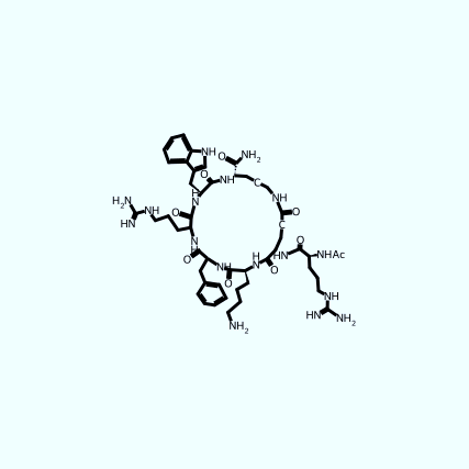 CC(=O)N[C@@H](CCCNC(=N)N)C(=O)N[C@H]1CCC(=O)NCCC[C@@H](C(N)=O)NC(=O)[C@H](Cc2c[nH]c3ccccc23)NC(=O)C(CCCNC(=N)N)NC(=O)C(Cc2ccccc2)NC(=O)[C@H](CCCCN)NC1=O